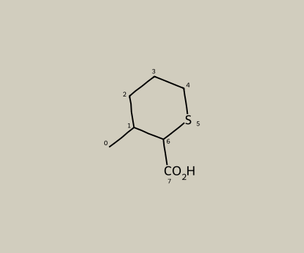 CC1CCCSC1C(=O)O